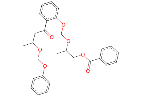 CC(COC(=O)c1ccccc1)OCOc1ccccc1C(=O)CC(C)OCOc1ccccc1